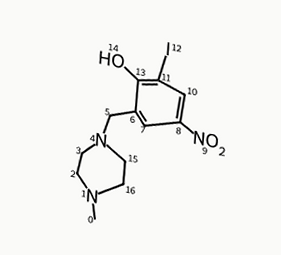 CN1CCN(Cc2cc([N+](=O)[O-])cc(I)c2O)CC1